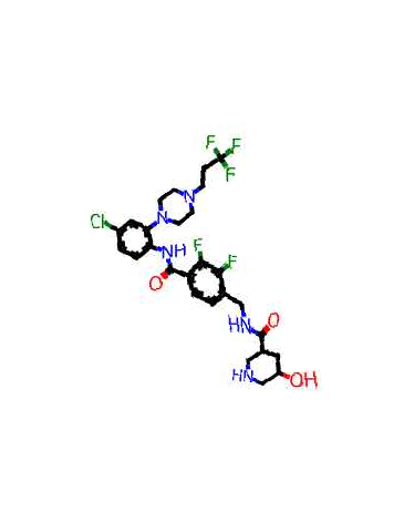 O=C(Nc1ccc(Cl)cc1N1CCN(CCC(F)(F)F)CC1)c1ccc(CNC(=O)C2CNCC(O)C2)c(F)c1F